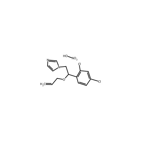 C=CCOC(Cn1ccnc1)c1ccc(Cl)cc1Cl.O=[N+]([O-])O